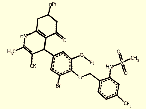 CCCC1CC(=O)C2=C(C1)NC(C)=C(C#N)C2c1cc(Br)c(OCc2ccc(C(F)(F)F)cc2NS(C)(=O)=O)c(OCC)c1